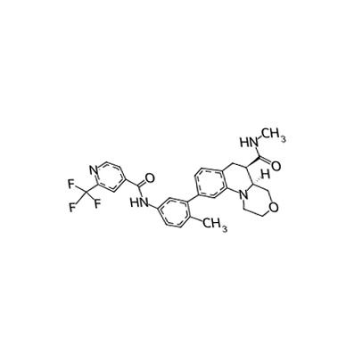 CNC(=O)[C@@H]1Cc2ccc(-c3cc(NC(=O)c4ccnc(C(F)(F)F)c4)ccc3C)cc2N2CCOC[C@H]12